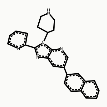 c1ccc(-c2nc3cc(-c4ccc5ccccc5c4)cnc3n2C2CCNCC2)nc1